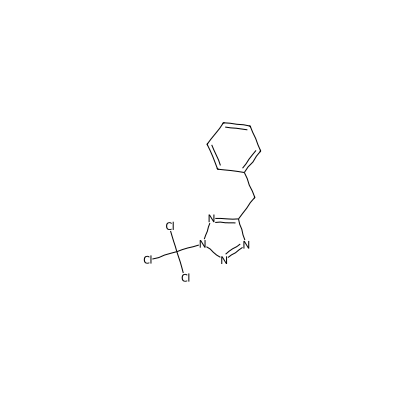 ClC(Cl)(Cl)n1nnc(Cc2ccccc2)n1